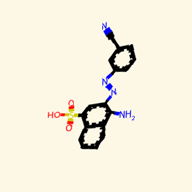 N#Cc1cccc(N=Nc2cc(S(=O)(=O)O)c3ccccc3c2N)c1